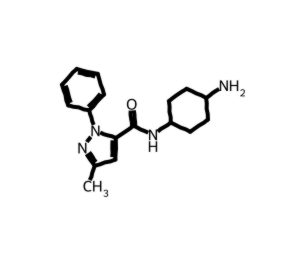 Cc1cc(C(=O)NC2CCC(N)CC2)n(-c2ccccc2)n1